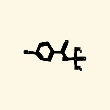 CC(C)(C)c1ccc(C(=O)NP(N)(N)=O)cc1